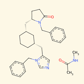 CNC(C)=O.O=C1CC[C@@H](C[C@H]2CCC[C@@H](Cc3cncn3Cc3ccccc3)C2)N1Cc1ccccc1